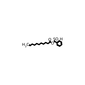 C=CCCCCCCCCC(=O)OC(c1ccccc1)S(=O)(=O)O